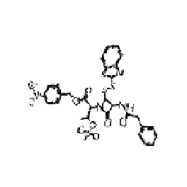 C/C(OS(C)(=O)=O)=C(\C(=O)OCc1ccc([N+](=O)[O-])cc1)N1C(=O)C(NC(=O)Cc2ccccc2)C1SSc1nc2ccccc2s1